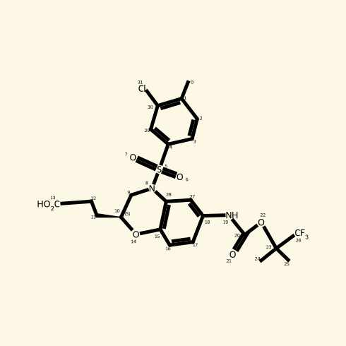 Cc1ccc(S(=O)(=O)N2C[C@H](CCC(=O)O)Oc3ccc(NC(=O)OC(C)(C)C(F)(F)F)cc32)cc1Cl